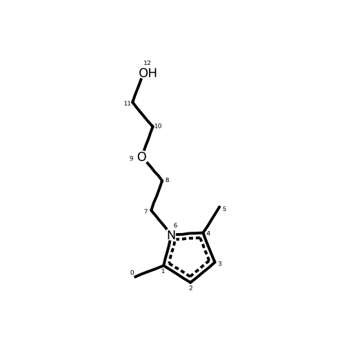 Cc1ccc(C)n1CCOCCO